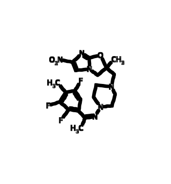 CC(=NN1CCN(CC2(C)Cn3cc([N+](=O)[O-])nc3O2)CC1)c1cc(F)c(C)c(F)c1F